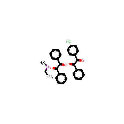 CCPC.Cl.O=C(C(=O)c1ccccc1)c1ccccc1.O=C(C(=O)c1ccccc1)c1ccccc1